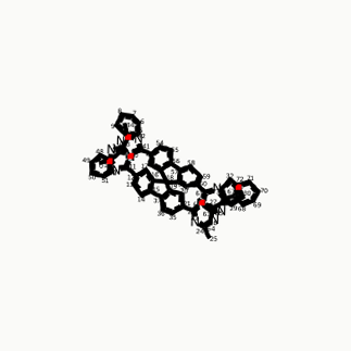 Cc1nc(-c2ccccc2)nc(-c2ccc3c(c2)C2(c4cc(-c5nc(C)nc(-c6ccccc6)n5)ccc4-3)c3cc(-c4nc(C)nc(-c5ccccc5)n4)ccc3-c3ccc(-c4nc(C)nc(-c5ccccc5)n4)cc32)n1